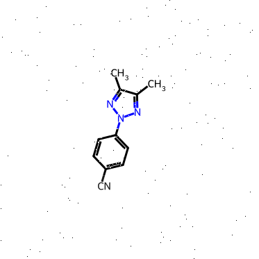 Cc1nn(-c2ccc(C#N)cc2)nc1C